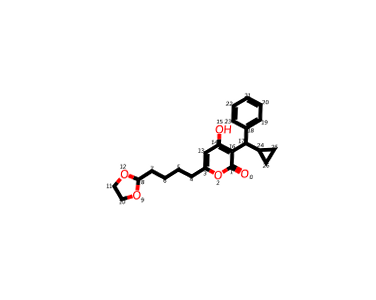 O=c1oc(CCCCC2OCCO2)cc(O)c1C(c1ccccc1)C1CC1